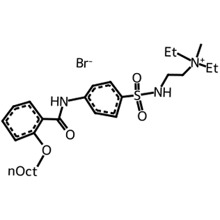 CCCCCCCCOc1ccccc1C(=O)Nc1ccc(S(=O)(=O)NCC[N+](C)(CC)CC)cc1.[Br-]